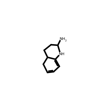 NC1CCC2CC=CC=C2N1